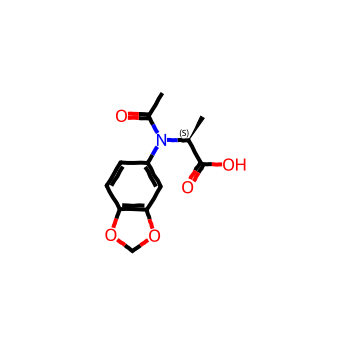 CC(=O)N(c1ccc2c(c1)OCO2)[C@@H](C)C(=O)O